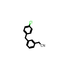 N#C[CH]c1cccc(Cc2ccc(Cl)cc2)c1